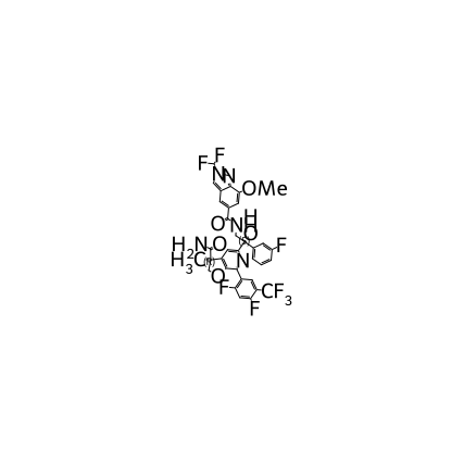 COc1cc(C(=O)NC[C@@](O)(c2cccc(F)c2)c2cc3c(c(-c4cc(C(F)(F)F)c(F)cc4F)n2)OC[C@]3(C)C(N)=O)cc2cn(C(F)F)nc12